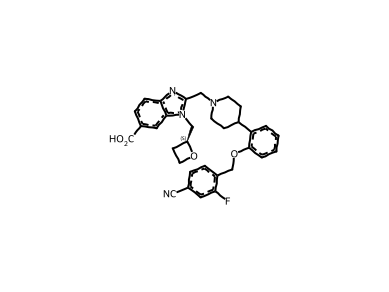 N#Cc1ccc(COc2ccccc2C2CCN(Cc3nc4ccc(C(=O)O)cc4n3C[C@@H]3CCO3)CC2)c(F)c1